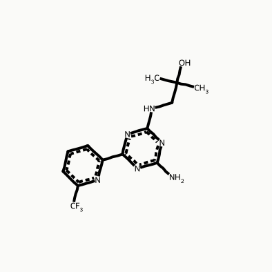 CC(C)(O)CNc1nc(N)nc(-c2cccc(C(F)(F)F)n2)n1